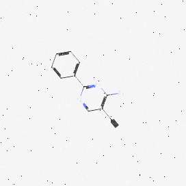 C#Cc1cnc(-c2ccccc2)nc1N